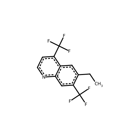 CCc1cc2c(C(F)(F)F)ccnc2cc1C(F)(F)F